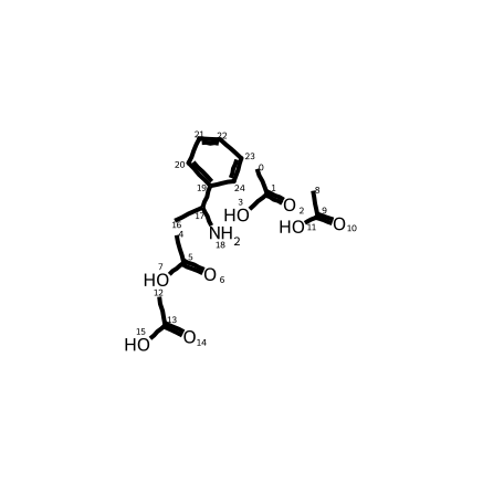 CC(=O)O.CC(=O)O.CC(=O)O.CC(=O)O.CC(N)c1ccccc1